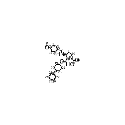 COc1ccc(CN[C@H]2CCN(C(=O)O)[C@H]2CO[C@H]2CC[C@@H](c3ccccc3)CC2)cc1